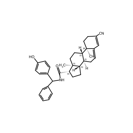 C[C@]12CC[C@H]3[C@@H](CC=C4C=C(C#N)CC[C@@]43C)[C@@H]1CC[C@@H]2C(=O)NC(c1ccccc1)c1ccc(O)cc1